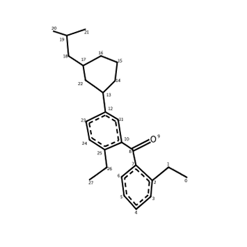 CCc1ccccc1C(=O)c1cc(C2CCCC(CC(C)C)C2)ccc1CC